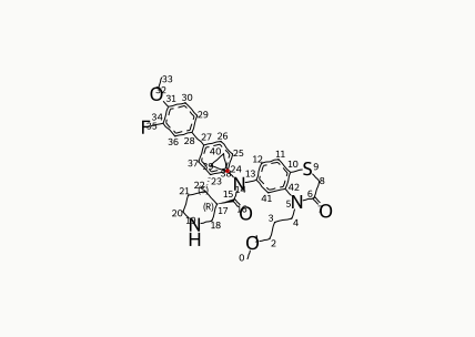 COCCCN1C(=O)CSc2ccc(N(C(=O)[C@H]3CNCC[C@@H]3c3cccc(-c4ccc(OC)c(F)c4)c3)C3CC3)cc21